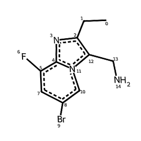 CCc1nc2c(F)cc(Br)cn2c1CN